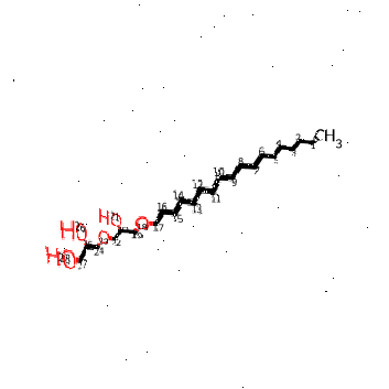 CCCCCCCCCCCCCCCCCCOCC(O)COCC(O)CO